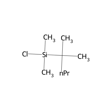 CCCC(C)(C)[Si](C)(C)Cl